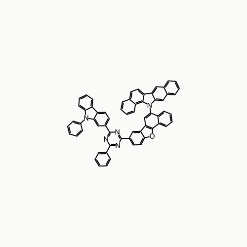 c1ccc(-c2nc(-c3ccc4oc5c6ccccc6c(-n6c7cc8ccccc8cc7c7ccc8ccccc8c76)cc5c4c3)nc(-c3ccc4c5ccccc5n(-c5ccccc5)c4c3)n2)cc1